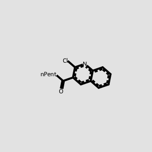 CCCCCC(=O)c1cc2ccccc2nc1Cl